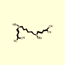 CCCCN(C=CC=C(C#N)C#N)CCCCCCN(C=CC=C(C#N)C#N)CCCC